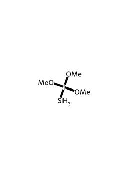 CO[I]([SiH3])(OC)OC